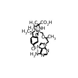 C[C@@H](Cn1cnc2c(N)ncnc21)OCP(=O)(N[C@H](C)c1ccc(C(F)(F)F)cc1)NC(C)(C)C(=O)O